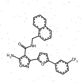 Nc1onc(-c2ccc(-c3cccc(C(F)(F)F)c3)o2)c1C(=O)NCc1cccc2ccccc12